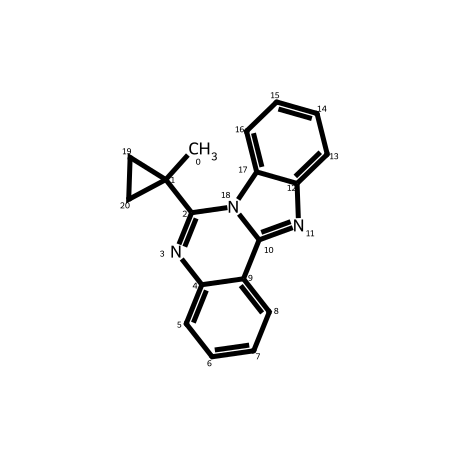 CC1(c2nc3ccccc3c3nc4ccccc4n23)CC1